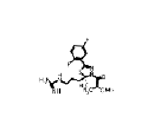 CO[C@@H](C)C(=O)N1N=C(c2cc(F)ccc2F)S[C@]1(C)CCCNC(=N)N